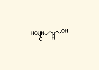 O=C(O)NCCNCCO